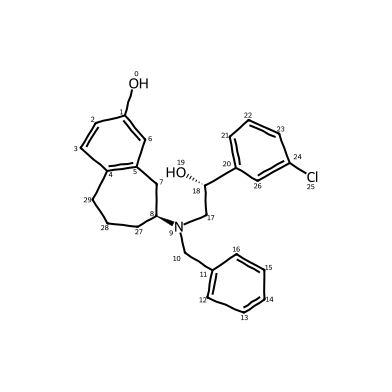 Oc1ccc2c(c1)C[C@@H](N(Cc1ccccc1)C[C@H](O)c1cccc(Cl)c1)CCC2